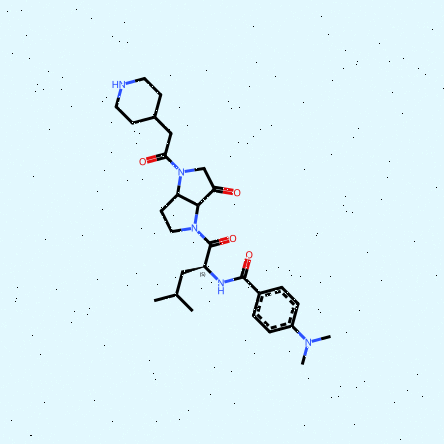 CC(C)C[C@H](NC(=O)c1ccc(N(C)C)cc1)C(=O)N1CCC2C1C(=O)CN2C(=O)CC1CCNCC1